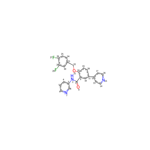 O=C(Nc1cccnc1)c1cc(-c2ccncc2)ccc1OCc1ccc(F)c(F)c1